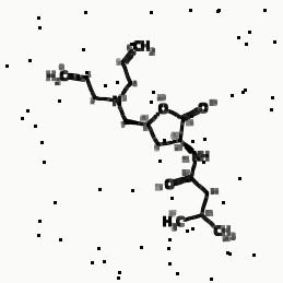 C=CCN(CC=C)C[C@@H]1C[C@H](NC(=O)CC(C)C)C(=O)O1